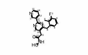 Cc1c(F)cccc1Cc1nc(-c2cccnc2)ncc1CC(=O)NO